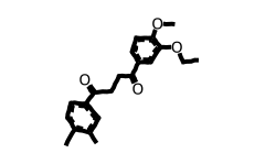 CCOc1cc(C(=O)CCC(=O)c2ccc(C)c(C)c2)ccc1OC